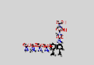 CN(C)C(=O)O.CN(C)C(=O)O.CN(C)C(=O)O.CN(C)C(=O)O.CN(C)C(=O)O.CN(C)C(=O)O.CN(C)C(=O)O.c1ccc(C2CC2)cc1.c1ccc(C2CC2)cc1